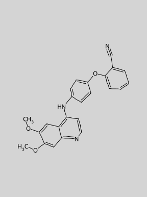 COc1cc2nccc(Nc3ccc(Oc4ccccc4C#N)cc3)c2cc1OC